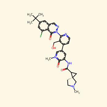 CN1CC[C@]2(CC2C(=O)Nc2cc(-c3ccnc(-n4ncc5cc(C(C)(C)C)cc(F)c5c4=O)c3CO)cn(C)c2=O)C1